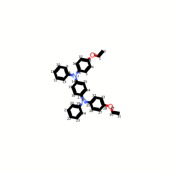 C=COc1ccc(N(c2ccccc2)c2ccc(N(c3ccccc3)c3ccc(OC=C)cc3)cc2)cc1